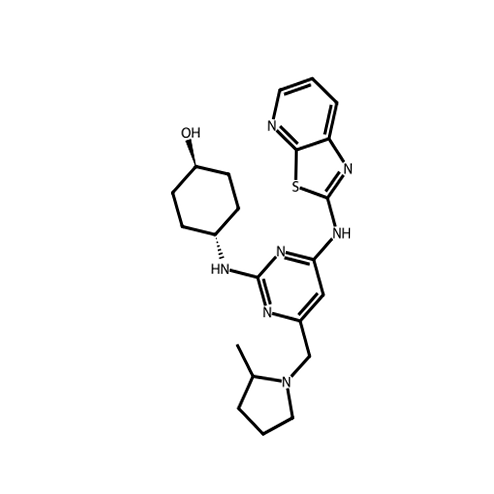 CC1CCCN1Cc1cc(Nc2nc3cccnc3s2)nc(N[C@H]2CC[C@H](O)CC2)n1